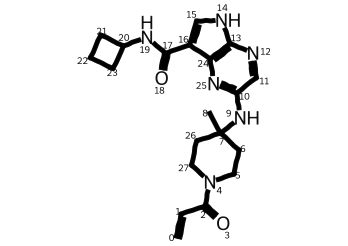 C=CC(=O)N1CCC(C)(Nc2cnc3[nH]cc(C(=O)NC4CCC4)c3n2)CC1